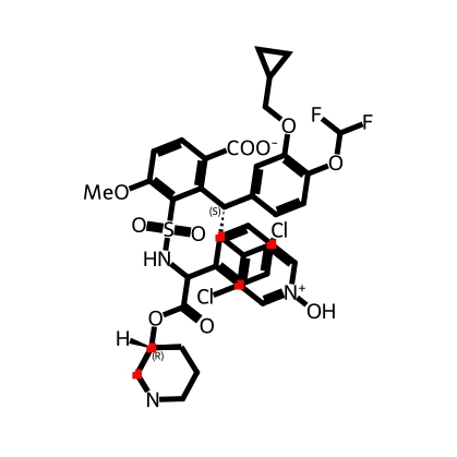 COc1ccc(C(=O)[O-])c([C@@H](Cc2c(Cl)c[n+](O)cc2Cl)c2ccc(OC(F)F)c(OCC3CC3)c2)c1S(=O)(=O)NC(C(=O)O[C@H]1CN2CCC1CC2)c1ccccc1